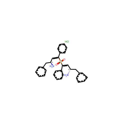 Cl.N[C@H](C=C(c1ccccc1)S(=O)(=O)C(=C[C@@H](N)Cc1ccccc1)c1ccccc1)Cc1ccccc1